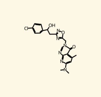 Cc1cc(N(C)C)nc2ncn(Cc3nc(CC(O)c4ccc(Cl)cc4)no3)c(=O)c12